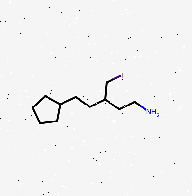 NCCC(CI)CCC1CCCC1